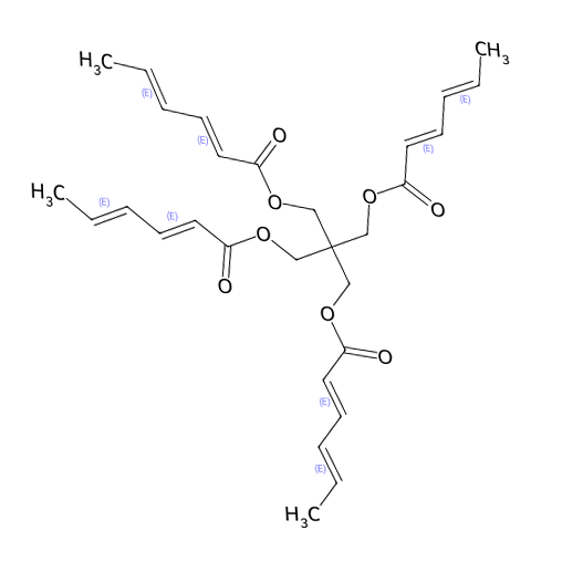 C/C=C/C=C/C(=O)OCC(COC(=O)/C=C/C=C/C)(COC(=O)/C=C/C=C/C)COC(=O)/C=C/C=C/C